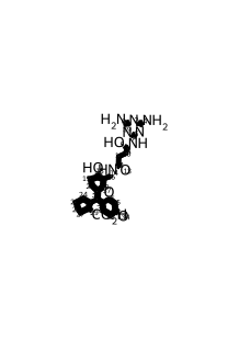 Nc1nc(N)nc(NC(O)CCC(=O)NCc2c(O)ccc3c(-c4ccccc4C(=O)O)c4ccc(=O)cc-4oc23)n1